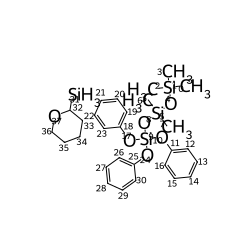 C[Si](C)(C)O[Si](C)(C)O[Si](Oc1ccccc1)(Oc1ccccc1)Oc1ccccc1.[SiH3]C1CCCCO1